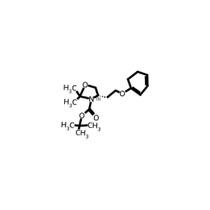 CC(C)(C)OC(=O)N1[C@@H](CCOC2=CC=CCC2)COC1(C)C